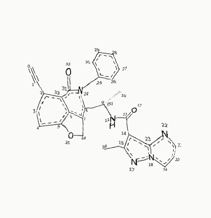 C#Cc1ccc2c3c(c([C@H](C)NC(=O)c4c(C)nn5cccnc45)n(-c4ccccc4)c(=O)c13)CO2